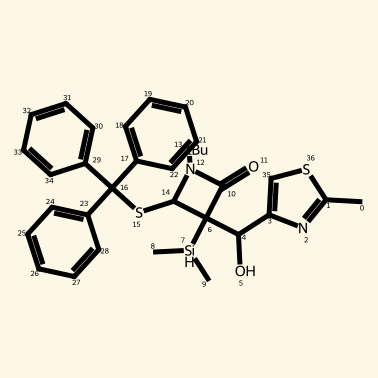 Cc1nc(C(O)C2([SiH](C)C)C(=O)N(C(C)(C)C)C2SC(c2ccccc2)(c2ccccc2)c2ccccc2)cs1